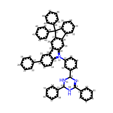 c1ccc(C2=NC(c3cccc(-n4c5ccc(-c6ccccc6)cc5c5cc6c(cc54)-c4ccccc4C6(c4ccccc4)c4ccccc4)c3)NC(c3ccccc3)N2)cc1